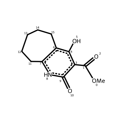 COC(=O)c1c(O)c2c([nH]c1=O)CCCCC2